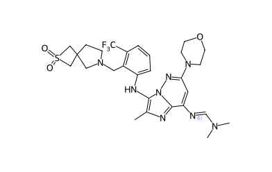 Cc1nc2c(/N=C/N(C)C)cc(N3CCOCC3)nn2c1Nc1cccc(C(F)(F)F)c1CN1CCC2(C1)CS(=O)(=O)C2